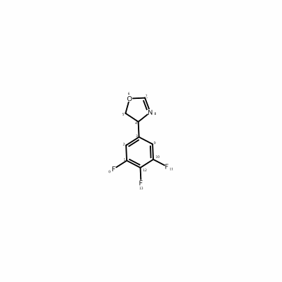 Fc1cc(C2CO[C]=N2)cc(F)c1F